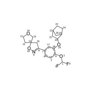 FC(F)Oc1ccc(C2=NOC3(CCOC3)C2)cc1OC1CC2CCC1C2